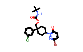 CC(C)(C)NC(=O)OCC1(c2cccc(Cl)c2)CCC(n2nc(Br)ccc2=O)CC1